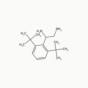 CC(C)(C)c1cccc(C(C)(C)C)c1C(N)CN